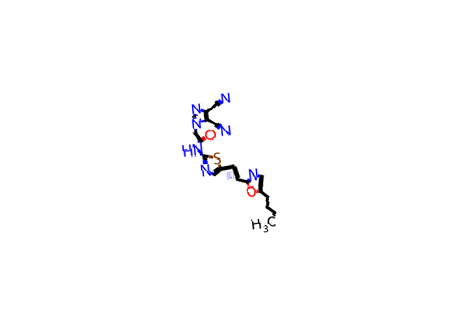 CCCCc1cnc(/C=C/c2cnc(NC(=O)Cn3cnc(C#N)c3C#N)s2)o1